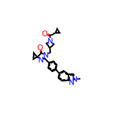 Cn1cc2cc(-c3ccc(C4=NC5(CC5)C(=O)N4CC4CN(C(=O)C5CC5)C4)cc3)ccc2n1